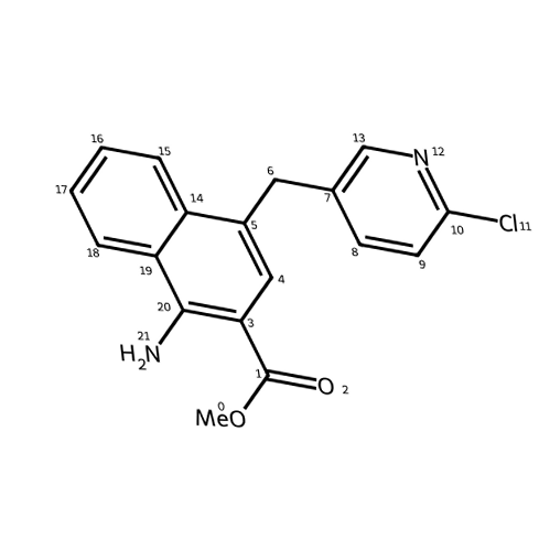 COC(=O)c1cc(Cc2ccc(Cl)nc2)c2ccccc2c1N